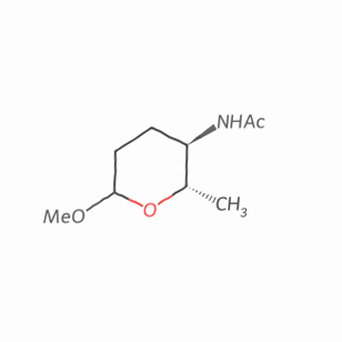 COC1CC[C@@H](NC(C)=O)[C@H](C)O1